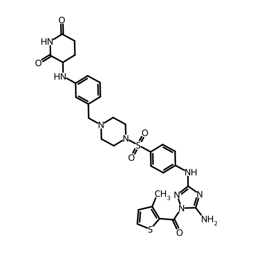 Cc1ccsc1C(=O)n1nc(Nc2ccc(S(=O)(=O)N3CCN(Cc4cccc(NC5CCC(=O)NC5=O)c4)CC3)cc2)nc1N